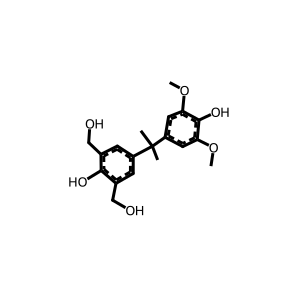 COc1cc(C(C)(C)c2cc(CO)c(O)c(CO)c2)cc(OC)c1O